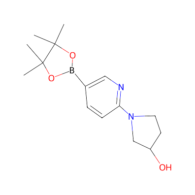 CC1(C)OB(c2ccc(N3CCC(O)C3)nc2)OC1(C)C